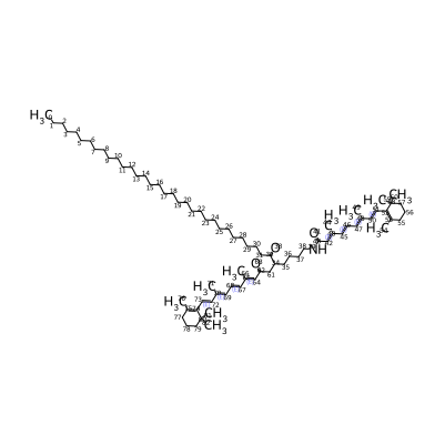 CCCCCCCCCCCCCCCCCCCCCCCCCCCCCCCCC(=O)C(CCCCNC(=O)/C=C(C)/C=C/C=C(C)/C=C/C1=C(C)CCCC1(C)C)CC(=O)/C=C(C)/C=C/C=C(C)/C=C/C1=C(C)CCCC1(C)C